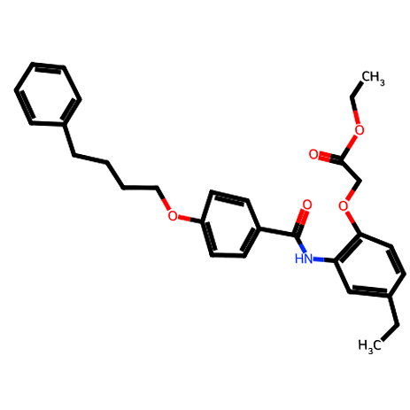 CCOC(=O)COc1ccc(CC)cc1NC(=O)c1ccc(OCCCCc2ccccc2)cc1